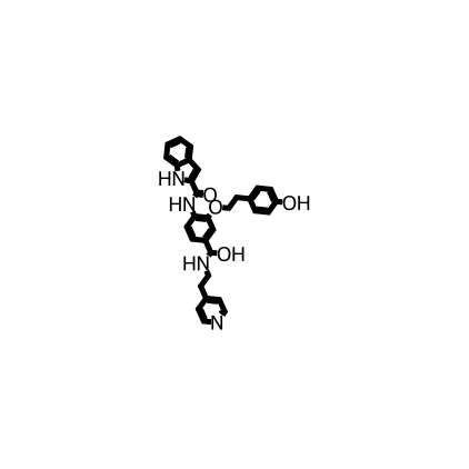 O=C(Nc1ccc(C(O)NCCc2ccncc2)cc1OCCc1ccc(O)cc1)c1cc2ccccc2[nH]1